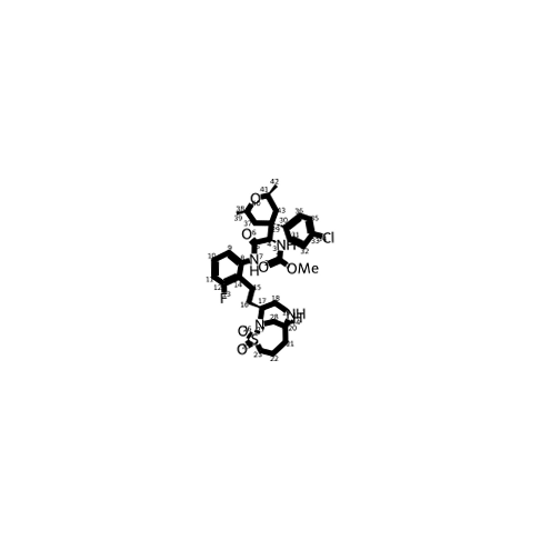 COC(=O)N[C@H](C(=O)Nc1cccc(F)c1CC[C@H]1CN[C@@H]2CCCS(=O)(=O)N1C2)[C@@]1(c2ccc(Cl)cc2)C[C@@H](C)O[C@@H](C)C1